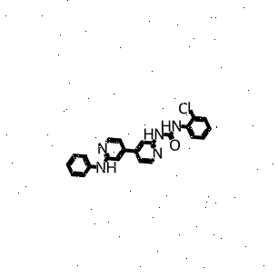 O=C(Nc1cc(-c2ccnc(Nc3ccccc3)c2)ccn1)Nc1ccccc1Cl